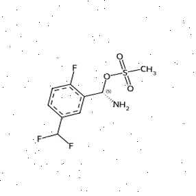 CS(=O)(=O)O[C@H](N)c1cc(C(F)F)ccc1F